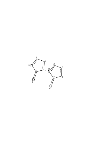 O=C1C=CC=N1.O=C1C=CC=N1